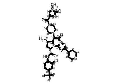 C[C@@H]1C[C@H](C(=O)Nc2ccc(C(F)(F)F)cc2Cl)n2c1c(N1CCN(C(=O)c3nn(C)c(=O)[nH]3)CC1)c(=O)n1nc(C3=CCOCC3)nc21